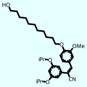 COc1cc(C=C(C#N)c2cc(OC(C)C)cc(OC(C)C)c2)ccc1OCCCCCCCCCCCO